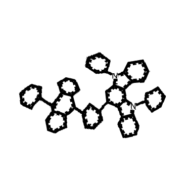 c1ccc(-c2c3ccccc3c(-c3cccc(-c4cc5c(c6ccccc6n5-c5ccccc5)c5c4c4ccccc4n5-c4ccccc4)c3)c3ccccc23)cc1